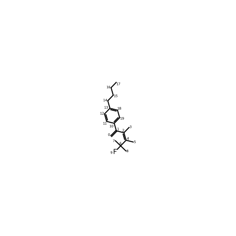 C=C(/C(C)=C(/C)C(C)(C)F)c1ccc(CCCC)cc1